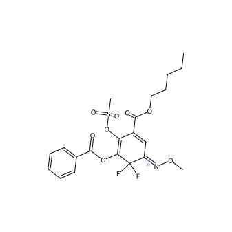 CCCCCOC(=O)C1=C/C(=N\OC)C(F)(F)C(OC(=O)c2ccccc2)=C1OS(C)(=O)=O